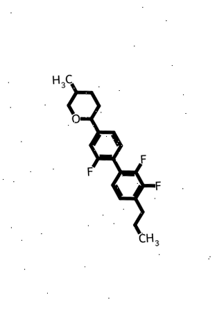 CCCc1ccc(-c2ccc(C3CCC(C)CO3)cc2F)c(F)c1F